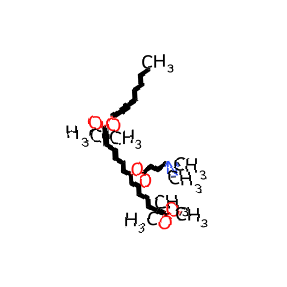 CCCCCCC#CCOC(=O)C(C)(C)CCCCCC(CCCCCC(C)(C)C(=O)OC)OC(=O)CCCN(C)C